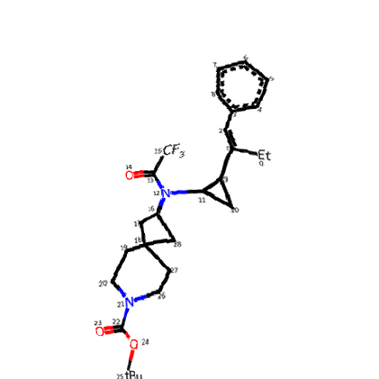 CCC(=Cc1ccccc1)C1CC1N(C(=O)C(F)(F)F)C1CC2(CCN(C(=O)OC(C)(C)C)CC2)C1